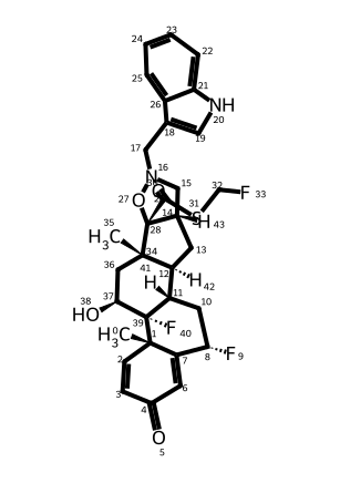 C[C@]12C=CC(=O)C=C1[C@@H](F)C[C@H]1[C@@H]3C[C@H]4CN(Cc5c[nH]c6ccccc56)O[C@@]4(C(=O)SCF)[C@@]3(C)C[C@H](O)[C@@]12F